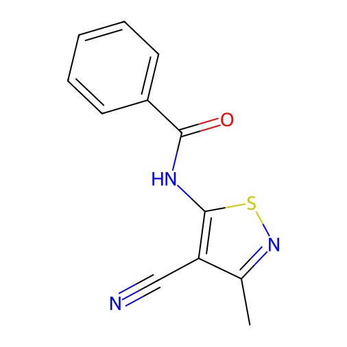 Cc1nsc(NC(=O)c2ccccc2)c1C#N